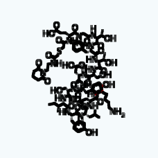 CC[C@H](C)[C@H](NC(=O)[C@H](CO)NC(=O)[C@H](Cc1ccc(O)cc1)NC(=O)[C@H](CC(=O)O)NC(=O)[C@H](CO)NC(=O)[C@@H](NC(=O)[C@H](Cc1ccccc1)NC(=O)[C@@H](NC(=O)CNC(=O)[C@H](CCC(=O)O)NC(=O)CSCC(=O)NCCN1C(=O)CCCC1=O)[C@@H](C)O)[C@@H](C)O)C(=O)N[C@@H](Cc1ccc(O)cc1)C(=O)N[C@@H](CC(C)C)C(=O)N[C@@H](CC(=O)O)C(=O)N[C@H](C)CCCCN